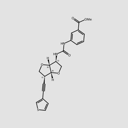 COC(=O)c1cccc(NC(=O)N[C@H]2CO[C@H]3[C@@H]2OC[C@@H]3C#Cc2ccsc2)c1